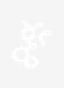 COC(=O)c1c(O)c(=O)ccn1NC1CCCNc2ccccc21